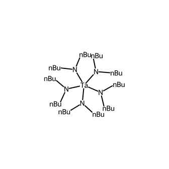 CCCC[N](CCCC)[Ta]([N](CCCC)CCCC)([N](CCCC)CCCC)([N](CCCC)CCCC)[N](CCCC)CCCC